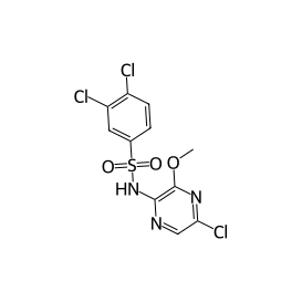 COc1nc(Cl)cnc1NS(=O)(=O)c1ccc(Cl)c(Cl)c1